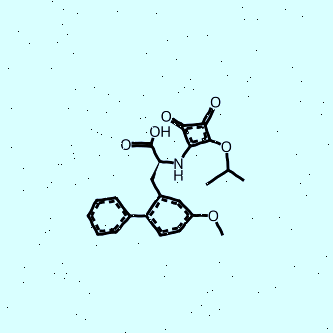 COc1ccc(-c2ccccc2)c(C[C@H](Nc2c(OC(C)C)c(=O)c2=O)C(=O)O)c1